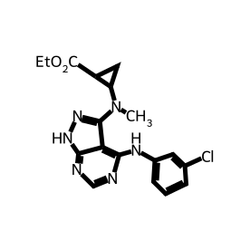 CCOC(=O)C1CC1N(C)c1n[nH]c2ncnc(Nc3cccc(Cl)c3)c12